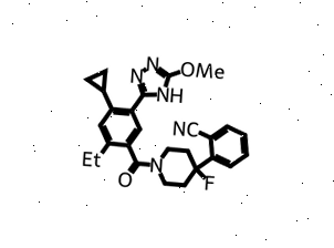 CCc1cc(C2CC2)c(-c2nnc(OC)[nH]2)cc1C(=O)N1CCC(F)(c2ccccc2C#N)CC1